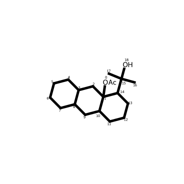 CC(=O)OC12CC3CCCCC3CC1CCCC2C(C)(C)O